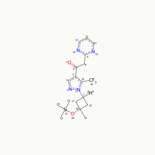 [2H]C1(n2ncc(C(=O)Cc3ncccn3)c2C(F)(F)F)CC(C)(O[Si](C)(C)C)C1